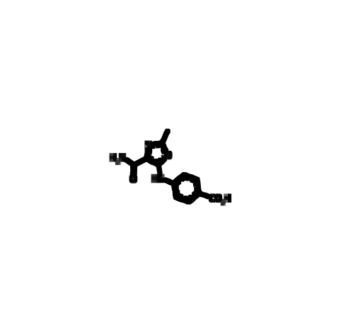 Cc1nc(C(N)=O)c(Nc2ccc(C(=O)O)cc2)o1